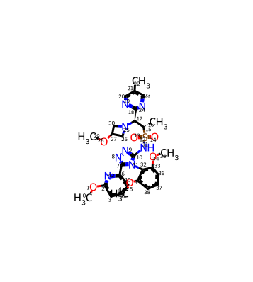 COc1cccc(-c2nnc(NS(=O)(=O)[C@@H](C)[C@H](c3ncc(C)cn3)N3CC(OC)C3)n2-c2c(OC)cccc2OC)n1